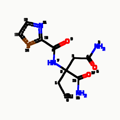 CC(C)(C)CC(CC(N)=O)(NC(=O)c1nccs1)C(N)=O